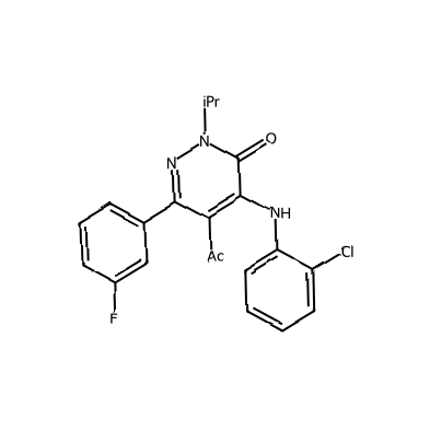 CC(=O)c1c(-c2cccc(F)c2)nn(C(C)C)c(=O)c1Nc1ccccc1Cl